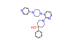 OC1(c2ccccc2)CCN(c2ncccc2N2CCN(c3ccncc3)CC2)CC1